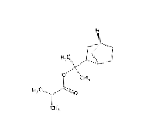 CC(C)C(=O)OC(C)(C)C1C[C@@H]2CCC1C2